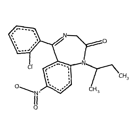 CCC(C)N1C(=O)CN=C(c2ccccc2Cl)c2cc([N+](=O)[O-])ccc21